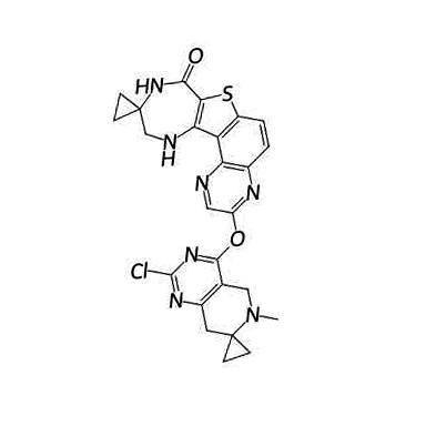 CN1Cc2c(nc(Cl)nc2Oc2cnc3c(ccc4sc5c(c43)NCC3(CC3)NC5=O)n2)CC12CC2